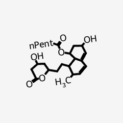 CCCCCC(=O)OC1CC(O)C=C2C=CC(C)C(CCC3CC(O)CC(=O)O3)C21